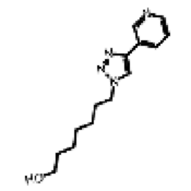 OCCCCCCCn1cc(-c2cccnc2)nn1